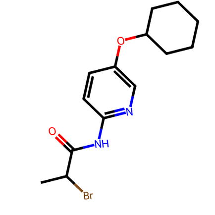 CC(Br)C(=O)Nc1ccc(OC2CCCCC2)cn1